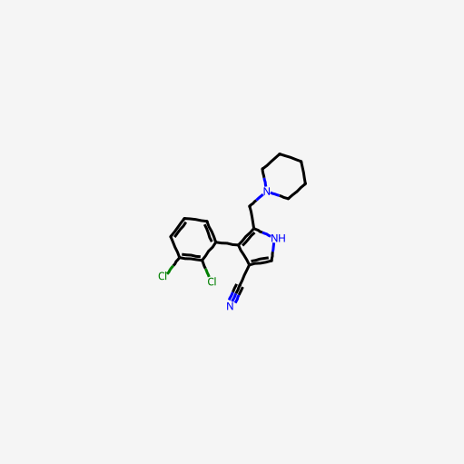 N#Cc1c[nH]c(CN2CCCCC2)c1-c1cccc(Cl)c1Cl